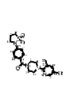 CCc1cnc(N2CCN(C(=O)c3ccc(N4CCCS4(=O)=O)cc3)CC2)c(C)c1